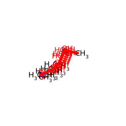 CCCCCCCCCC(O)C[C@]1(O)O[C@H](CC(O)C(O)C(O)C(O)C(O)CC(O)CC(O)CC(O)C(C)C(O)C(C)C(O)CC(O)C(C)C(O)C(C)C(O)C(C)C(O)C(O)CC(C)CC(C)/C=C(C)/C(O)=C2/C(=O)C(C)N(C)C2=O)[C@@H](O)[C@H](O)[C@@H]1O